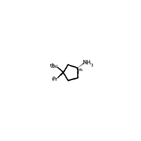 CC(C)C1(C(C)(C)C)CC[C@@H](N)C1